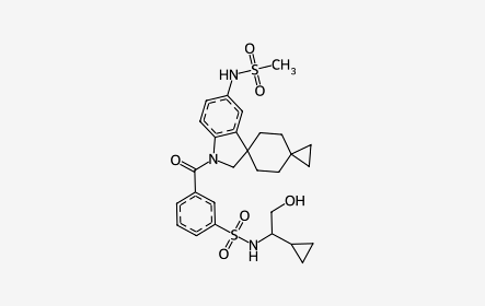 CS(=O)(=O)Nc1ccc2c(c1)C1(CCC3(CC3)CC1)CN2C(=O)c1cccc(S(=O)(=O)NC(CO)C2CC2)c1